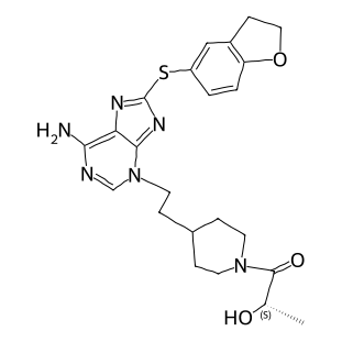 C[C@H](O)C(=O)N1CCC(CCn2cnc(N)c3nc(Sc4ccc5c(c4)CCO5)nc2-3)CC1